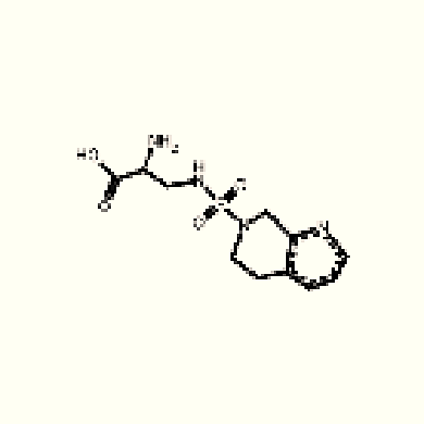 N[C@@H](CNS(=O)(=O)N1CCc2cccnc2C1)C(=O)O